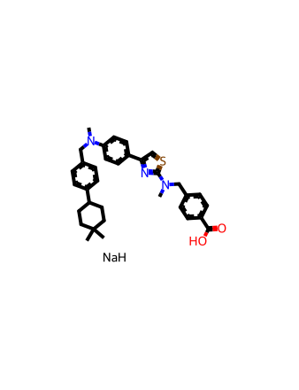 CN(Cc1ccc(C2CCC(C)(C)CC2)cc1)c1ccc(-c2csc(N(C)Cc3ccc(C(=O)O)cc3)n2)cc1.[NaH]